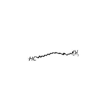 [CH]=CC=CC=CC=CC=CC=CC=CC=CC=CC=CCCCCCCC